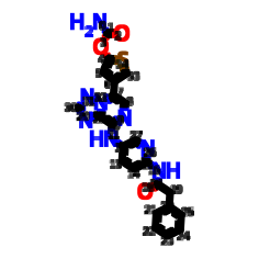 NC(=O)Oc1cc(-c2cnc(Nc3ccc(NC(=O)Cc4ccccc4)nc3)c3ncnn23)cs1